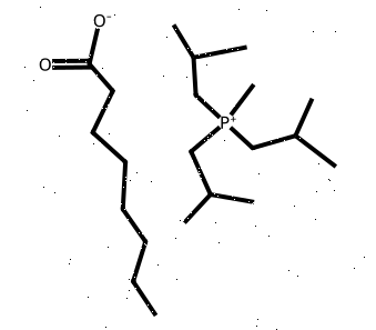 CC(C)C[P+](C)(CC(C)C)CC(C)C.CCCCCCCC(=O)[O-]